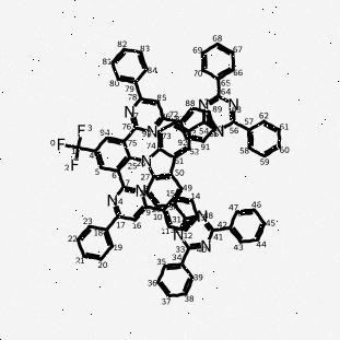 FC(F)(F)c1cc(-c2nc(-c3ccccc3)cc(-c3ccccc3)n2)c(-n2c3ccc(-c4nc(-c5ccccc5)nc(-c5ccccc5)n4)cc3c3cc(-c4nc(-c5ccccc5)nc(-c5ccccc5)n4)ccc32)c(-c2nc(-c3ccccc3)cc(-c3ccccc3)n2)c1